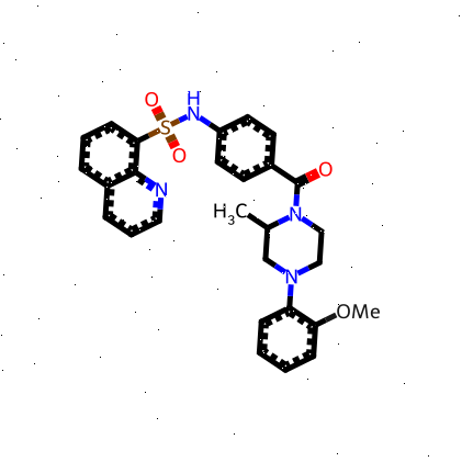 COc1ccccc1N1CCN(C(=O)c2ccc(NS(=O)(=O)c3cccc4cccnc34)cc2)C(C)C1